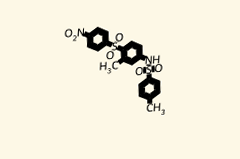 Cc1ccc(S(=O)(=O)Nc2ccc(S(=O)(=O)c3ccc([N+](=O)[O-])cc3)c(C)c2)cc1